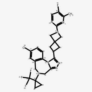 Cc1nc(N2CC3(CC(c4nnc5n4-c4ccc(Cl)cc4CN(C4(C(F)(F)F)CC4)C5)C3)C2)ncc1F